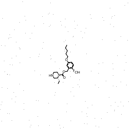 CCCCCOc1ccc(F)c(COC(=O)N2CCNC[C@H]2CC)c1.Cl